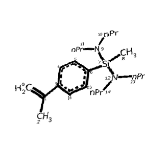 C=C(C)c1ccc([Si](C)(N(CCC)CCC)N(CCC)CCC)cc1